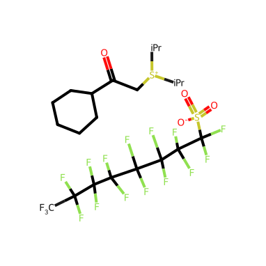 CC(C)[S+](CC(=O)C1CCCCC1)C(C)C.O=S(=O)([O-])C(F)(F)C(F)(F)C(F)(F)C(F)(F)C(F)(F)C(F)(F)C(F)(F)C(F)(F)F